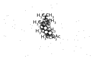 CC(=O)O[C@H]1CC[C@]2(C)C3=C(CC[C@H]2C1(C)C)[C@]1(C)CC[C@H]([C@H](C)[C@H](CC=C(C)C)OS(C)(=O)=O)[C@@]1(C)CC3